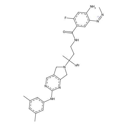 CCCC(C)(CCNC(=O)c1cc(/N=N\C)c(N)cc1F)N1Cc2cnc(Nc3cc(C)cc(C)c3)nc2C1